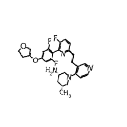 C[C@@H]1C[C@H](N)CN(c2ccncc2CCc2ccc(F)c(-c3c(F)cc(O[C@H]4CCOC4)cc3F)n2)C1